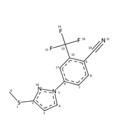 CSc1ccn(-c2ccc(C#N)c(C(F)(F)F)c2)n1